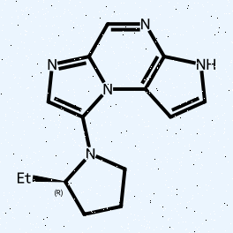 CC[C@@H]1CCCN1c1cnc2cnc3[nH]ccc3n12